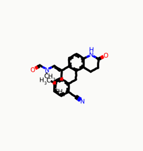 CC(C)=C/C(=C\N(C)C=O)c1ccc2c(c1Cc1ccccc1C#N)CCC(=O)N2